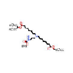 CCCCCCCCCCCOC(=O)CCCCCCCN(CCCCCCCC(=O)OC(CCCCCCCC)CCCCCCCC)CCCNC(=O)OC(C)(C)C